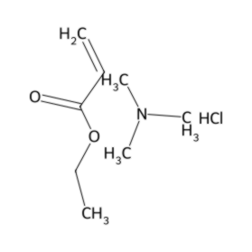 C=CC(=O)OCC.CN(C)C.Cl